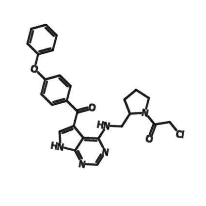 O=C(c1ccc(Oc2ccccc2)cc1)c1c[nH]c2ncnc(NCC3CCCN3C(=O)CCl)c12